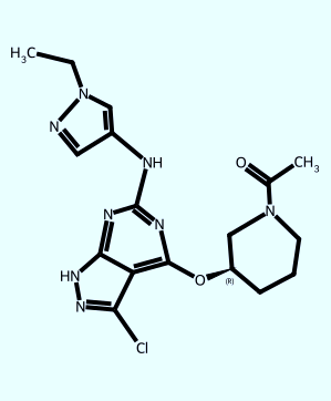 CCn1cc(Nc2nc(O[C@@H]3CCCN(C(C)=O)C3)c3c(Cl)n[nH]c3n2)cn1